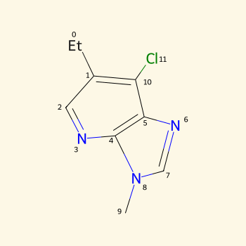 CCc1cnc2c(ncn2C)c1Cl